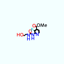 COC(=O)c1ccnc(NC(=O)NCCO)c1F